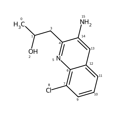 CC(O)Cc1nc2c(Cl)cccc2cc1N